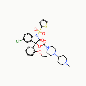 CCOc1ccccc1C1(OC(=O)N2CCN(C3CCN(C)CC3)CC2)C(=O)N(S(=O)(=O)c2cccs2)c2ccc(Cl)cc21